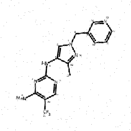 CNc1nc(Nc2cn(Cc3cccnc3)nc2C)ncc1C(F)(F)F